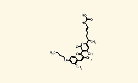 CCCCOc1ccc(C=C(C)C(=O)c2c(O)cc(C(C)CC/C=C/NC(=O)O)oc2=O)c(C)c1